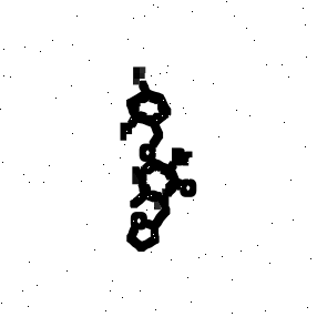 Cc1nc(OCc2ccc(F)cc2F)c(Br)c(=O)n1CC1CCCO1